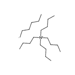 CCCC[N+](CCCC)(CCCC)CCCC.[CH2]CCCCC